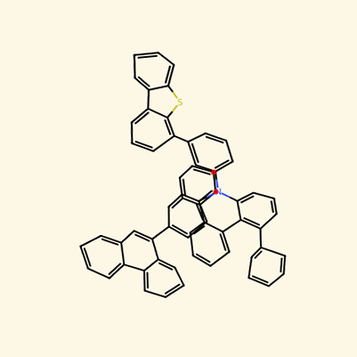 c1ccc(-c2ccccc2-c2c(-c3ccccc3)cccc2N(c2ccc(-c3cc4ccccc4c4ccccc34)cc2)c2cccc(-c3cccc4c3sc3ccccc34)c2)cc1